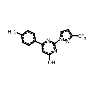 Cc1ccc(-c2cc(O)nc(-n3ccc(C(F)(F)F)n3)n2)cc1